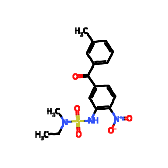 CCN(C)S(=O)(=O)Nc1cc(C(=O)c2cccc(C)c2)ccc1[N+](=O)[O-]